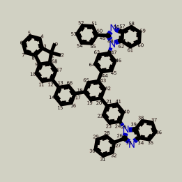 CC1(C)c2ccccc2-c2ccc(-c3cccc(-c4cc(-c5ccc(-n6c(-c7ccccc7)nc7ccccc76)cc5)cc(-c5ccc(-n6c(-c7ccccc7)nc7ccccc76)cc5)c4)c3)cc21